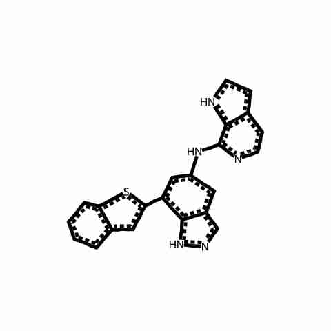 c1ccc2sc(-c3cc(Nc4nccc5cc[nH]c45)cc4cn[nH]c34)cc2c1